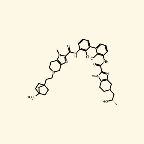 C[C@H](O)CN1CCc2c(nc(C(=O)Nc3cccc(-c4cccc(NC(=O)c5nc6c(n5C)CCN(CCC57CCC(C(=O)O)(CC5)C7)C6)c4Cl)c3Cl)n2C)C1